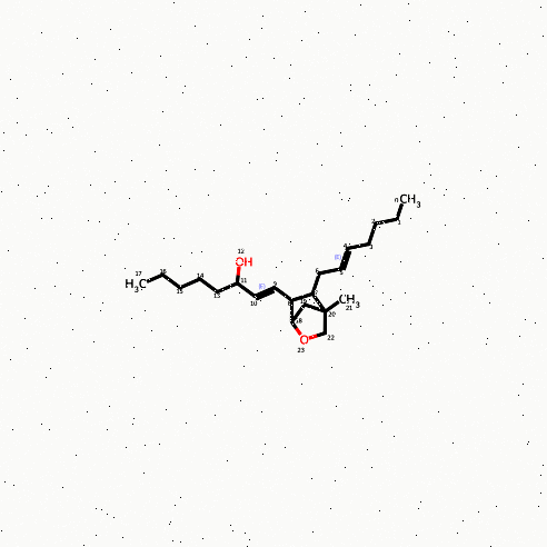 CCCC/C=C/CC1C(/C=C/C(O)CCCCC)C2CC1(C)CO2